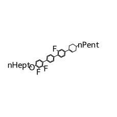 CCCCCCCOc1ccc(-c2ccc(-c3ccc(C4=CCC(CCCCC)CC4)cc3F)cc2)c(F)c1F